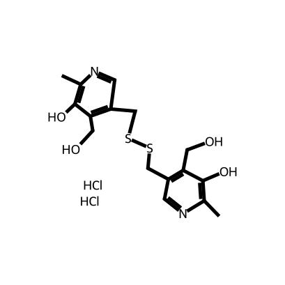 Cc1ncc(CSSCc2cnc(C)c(O)c2CO)c(CO)c1O.Cl.Cl